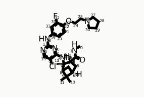 CNC(=O)[C@@H]1C[C@@H]2CC(C2(C)C)[C@]1(C)Nc1nc(Nc2ccc(OCCN3CCCC3)c(F)c2)ncc1Cl